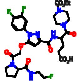 CCOC(=O)N1CCN(C(=O)C(CCC(=O)O)NC(=O)c2cc(OCC(=O)N3CCCC3C(=O)NCCF)n(-c3ccc(F)c(F)c3)n2)CC1